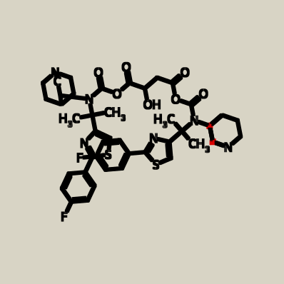 CC(C)(c1csc(-c2ccc(F)cc2)n1)N(C(=O)OC(=O)CC(O)C(=O)OC(=O)N(C1CN2CCC1CC2)C(C)(C)c1csc(-c2ccc(F)cc2)n1)C1CN2CCC1CC2